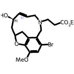 CCOC(=O)CCN1C/C=C/[C@H](O)CC2Cc3c(c(Br)cc(OC)c3O2)C1